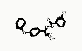 O=C(NN=C(C=NO)c1ccc(Oc2ccccc2)cc1)c1cccc(Cl)c1